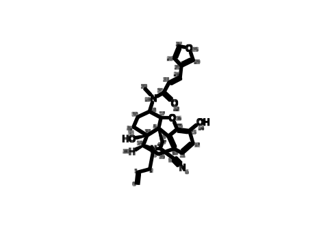 C=CCN1C(C#N)C[C@]23c4c5ccc(O)c4OC2C(N(C)C(=O)/C=C/c2ccoc2)CC[C@@]3(O)[C@H]1C5